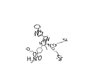 COCCOC1(C(N)=O)CCC(c2nc3c(-c4cnn(-c5ccccc5)c4)cnn3c(N(COCC[Si](C)(C)C)COCC[Si](C)(C)C)c2I)CC1